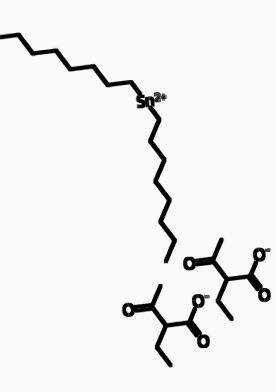 CCC(C(C)=O)C(=O)[O-].CCC(C(C)=O)C(=O)[O-].CCCCCCC[CH2][Sn+2][CH2]CCCCCCC